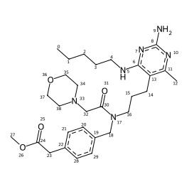 CCCCCNc1nc(N)nc(C)c1CCCN(Cc1ccc(CC(=O)OC)cc1)C(=O)CN1CCOCC1